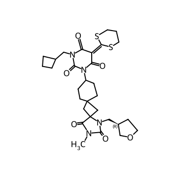 CN1C(=O)N(C[C@H]2CCOC2)C2(CC3(CCC(N4C(=O)C(=C5SCCCS5)C(=O)N(CC5CCC5)C4=O)CC3)C2)C1=O